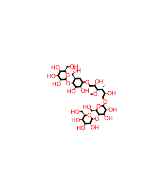 CO[C@@H]([C@H](C)[C@H](O)CO[C@@H]1O[C@H](CO)[C@@H](O[C@@H]2O[C@H](CO)[C@H](O)[C@H](O)[C@H]2O)[C@H](O)[C@H]1O)[C@H](O)COC1C[C@H](CO)[C@@H](O[C@@H]2O[C@H](CO)[C@H](O)[C@H](O)[C@H]2O)[C@H](O)[C@H]1O